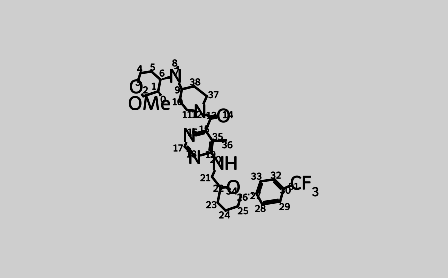 CO[C@H]1COCC[C@H]1N(C)C1CCN(C(=O)c2ncnc(NCC3CCC[C@@H](c4ccc(C(F)(F)F)cc4)O3)c2C)CC1